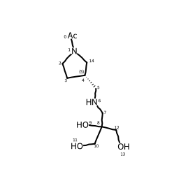 CC(=O)N1CC[C@@H](CNCC(O)(CO)CO)C1